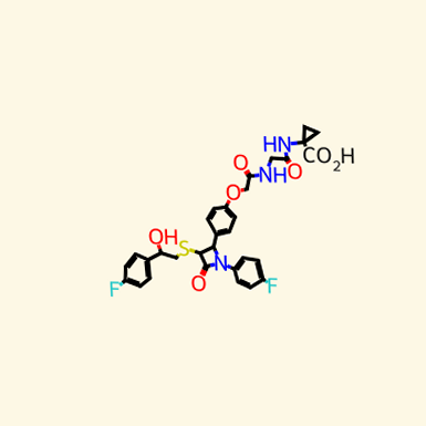 O=C(COc1ccc(C2C(SCC(O)c3ccc(F)cc3)C(=O)N2c2ccc(F)cc2)cc1)NCC(=O)NC1(C(=O)O)CC1